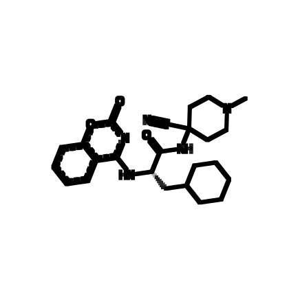 CN1CCC(C#N)(NC(=O)[C@H](CC2CCCCC2)Nc2nc(=O)oc3ccccc23)CC1